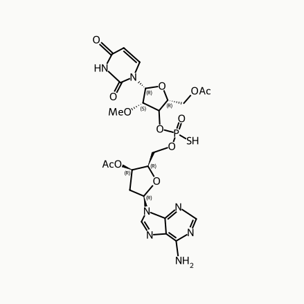 CO[C@H]1C(OP(=O)(S)OC[C@H]2O[C@@H](n3cnc4c(N)ncnc43)C[C@H]2OC(C)=O)[C@@H](COC(C)=O)O[C@H]1n1ccc(=O)[nH]c1=O